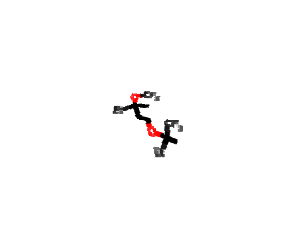 CCC(C)(CCOC(C)(CC)C(F)(F)F)OC(F)(F)F